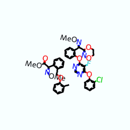 CO/N=C(/C(=O)OC)c1ccccc1COc1ccccc1C.CO/N=C(/C1=NOCCO1)c1ccccc1Oc1ncnc(Oc2ccccc2Cl)c1F